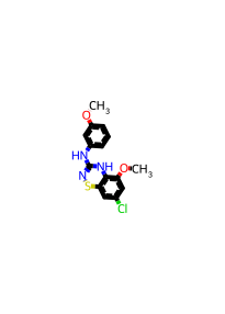 COc1cccc(NC2=NSc3cc(Cl)cc(OC)c3N2)c1